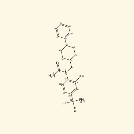 NC(=O)N(CC1CCC(c2ccccc2)CC1)c1ncc(C(F)(F)P)cc1F